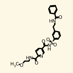 COCCNC(=O)c1ccc(C(=O)NS(=O)(=O)c2cccc(CCNC(=O)c3ccccc3)c2)cn1